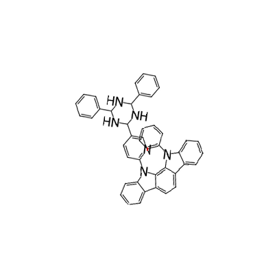 c1ccc(C2NC(c3ccccc3)NC(c3ccc(-n4c5ccccc5c5ccc6c7ccccc7n(-c7ccccc7)c6c54)nc3)N2)cc1